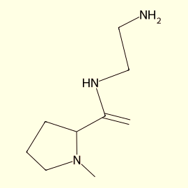 C=C(NCCN)C1CCCN1C